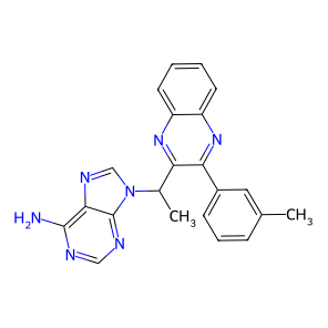 Cc1cccc(-c2nc3ccccc3nc2C(C)n2cnc3c(N)ncnc32)c1